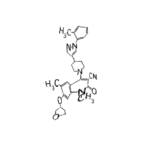 Cc1cc2c(N3CCC(c4cnn(-c5ccccc5C)c4)CC3)c(C#N)c(=O)n(C)c2cc1OC1CCOC1